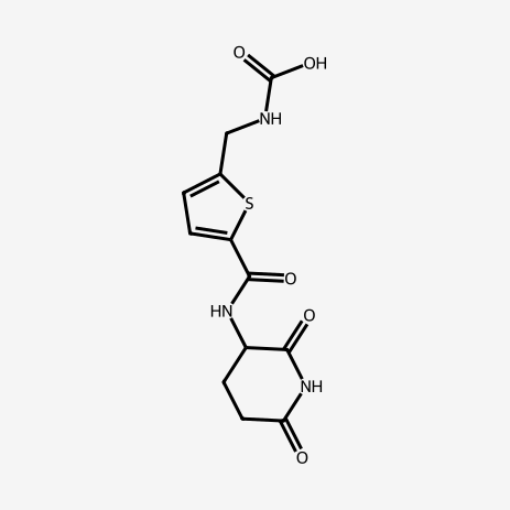 O=C(O)NCc1ccc(C(=O)NC2CCC(=O)NC2=O)s1